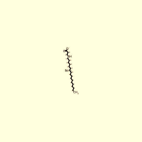 CCCCCCCCCCCCCCCCCCNCCC(=O)[O-].[Na+]